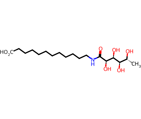 C[C@@H](O)[C@@H](O)[C@H](O)[C@@H](O)C(=O)NCCCCCCCCCCCC(=O)O